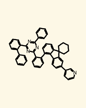 c1ccc(-c2nc(-c3ccccc3-c3ccccc3)nc(-c3ccccc3-c3cccc4c3-c3ccc(-c5cccnc5)cc3C43CCCCC3)n2)cc1